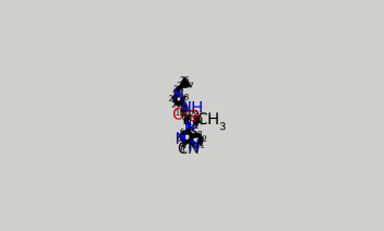 C[C@@H]1CN(c2cnc(C#N)c3ncccc23)C[C@H](C(=O)NC2CCN(CC3CC3)C2)O1